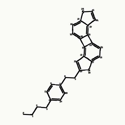 CCCCc1ccc(CCc2cc3c4c(ccc3s2)-c2c-4ccc3sccc23)cc1